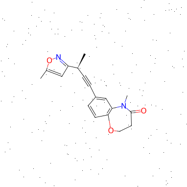 Cc1cc([C@@H](C)C#Cc2ccc3c(c2)N(C)C(=O)CCO3)no1